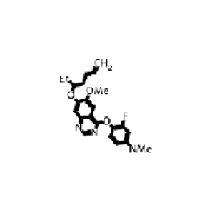 C=CCCC(CC)Oc1cc2ncnc(Oc3ccc(NC)cc3F)c2cc1OC